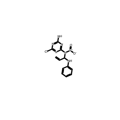 C=CC(Nc1ccccc1)N(c1nc([NH])nc(Cl)n1)[N+](=O)[O-]